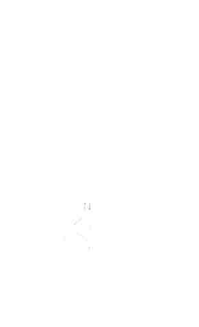 CCCCCCCCCCCCCCCCCCN1CCc2cc(OC)c(OC)cc2C1